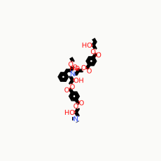 CCOC(=O)C(Cc1ccccc1)N(CC(O)COC(=O)c1ccc(C(=O)OCC(O)CC)cc1)CC(O)COC(=O)c1ccc(C(=O)OCC(O)CN(C)C)cc1